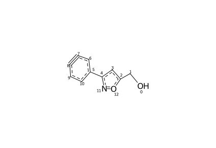 OCc1cc(-c2cc#ccc2)no1